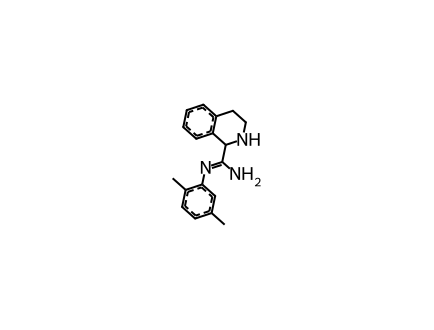 Cc1ccc(C)c(N=C(N)C2NCCc3ccccc32)c1